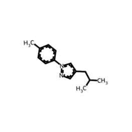 Cc1ccc(-n2cc(CC(C)C)cn2)cc1